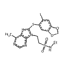 CCNS(=O)(=O)CCn1c(Sc2cc3c(cc2I)OCO3)nc2c(C)ncnc21